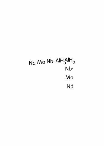 [AlH3].[AlH3].[Mo].[Mo].[Nb].[Nb].[Nd].[Nd]